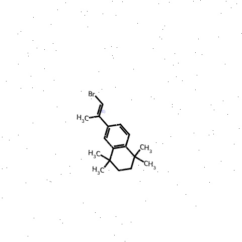 C/C(=C\Br)c1ccc2c(c1)C(C)(C)CCC2(C)C